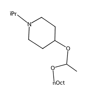 CCCCCCCCOC(C)OC1CCN(C(C)C)CC1